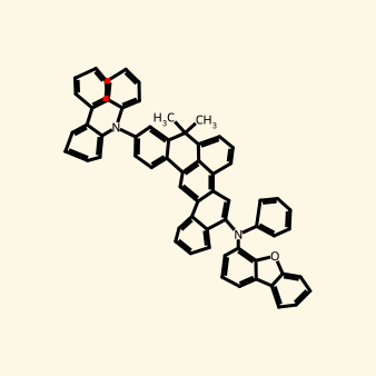 CC1(C)c2cc(N(c3ccccc3)c3ccccc3-c3ccccc3)ccc2-c2cc3c4ccccc4c(N(c4ccccc4)c4cccc5c4oc4ccccc45)cc3c3cccc1c23